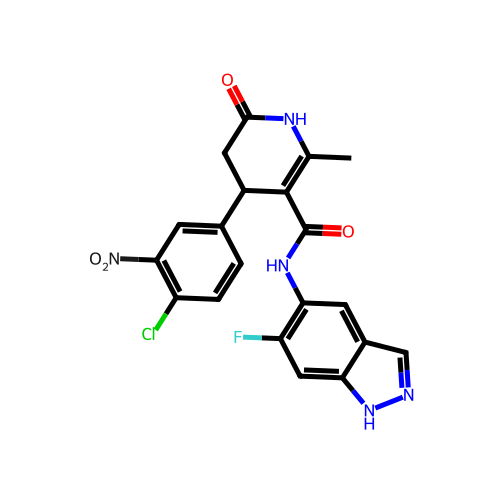 CC1=C(C(=O)Nc2cc3cn[nH]c3cc2F)C(c2ccc(Cl)c([N+](=O)[O-])c2)CC(=O)N1